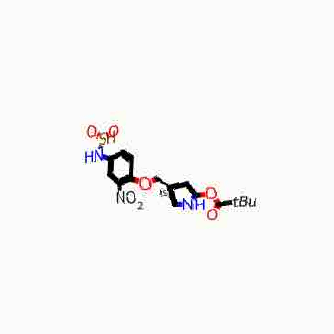 CC(C)(C)C(=O)OC1C[C@H](COc2ccc(N[SH](=O)=O)cc2[N+](=O)[O-])CN1